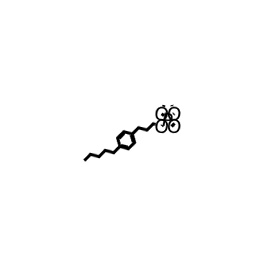 CCCCCc1ccc(CCCOP(=O)(OC)OC)cc1